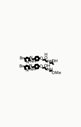 CC(O)CNCC(O)COc1ccc(-c2nc3cc(Br)cnc3[nH]2)cc1.COCCNCC(O)COc1ccc(-c2nc3cc(Br)cnc3[nH]2)cc1